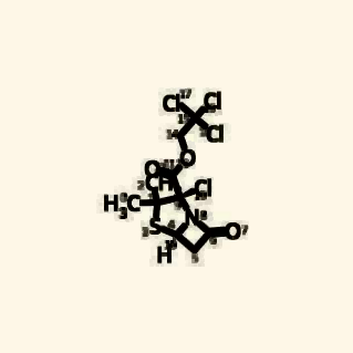 CC1(C)S[C@@H]2CC(=O)N2[C@@]1(Cl)C(=O)OCC(Cl)(Cl)Cl